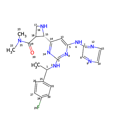 CC(Nc1nc(Nc2cnccn2)cc([C@H]2NCC2C(=O)N(C)C)n1)c1ccc(F)cc1